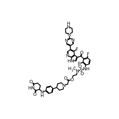 CN(CCOC(=O)CN1CCC(c2ccc(NC3CCC(=O)NC3=O)cc2)CC1)S(=O)(=O)Nc1ccc(F)c(C(=O)c2c[nH]c3ncc(-c4cnc(N5CCNCC5)nc4)c(F)c23)c1F